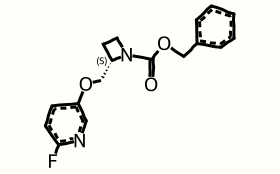 O=C(OCc1ccccc1)N1CC[C@H]1COc1ccc(F)nc1